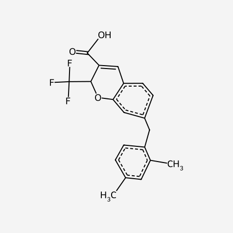 Cc1ccc(Cc2ccc3c(c2)OC(C(F)(F)F)C(C(=O)O)=C3)c(C)c1